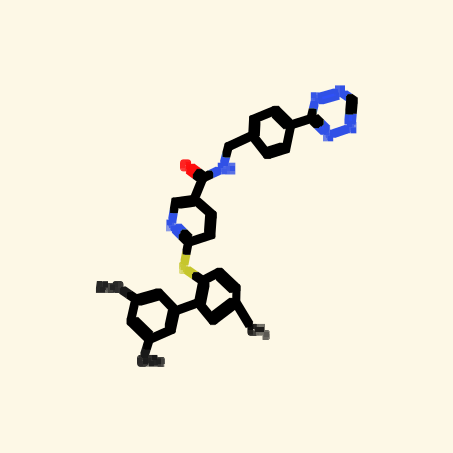 COc1cc(OC)cc(-c2cc(C)ccc2Sc2ccc(C(=O)NCc3ccc(-c4nncnn4)cc3)cn2)c1